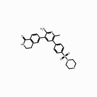 Nc1nc(F)c(-c2ccc(S(=O)(=O)N3CCOCC3)cc2)cc1-c1ccc2c(c1)CCNC2=O